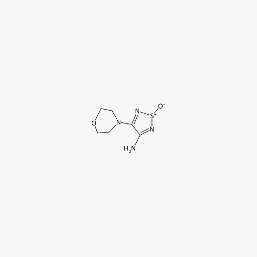 Nc1n[s+]([O-])nc1N1CCOCC1